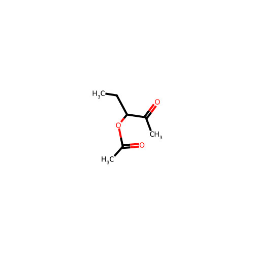 CCC(OC(C)=O)C(C)=O